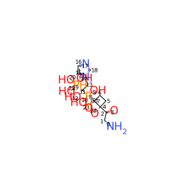 NCC(=O)C12CC[C@]1([PH](O)(O)C(O)(Cn1ccnc1)[PH](O)(O)O)OO2